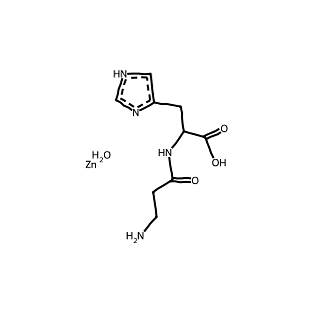 NCCC(=O)NC(Cc1c[nH]cn1)C(=O)O.O.[Zn]